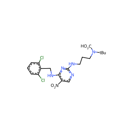 CC(C)(C)N(CCCNc1ncc([N+](=O)[O-])c(NCc2c(Cl)cccc2Cl)n1)C(=O)O